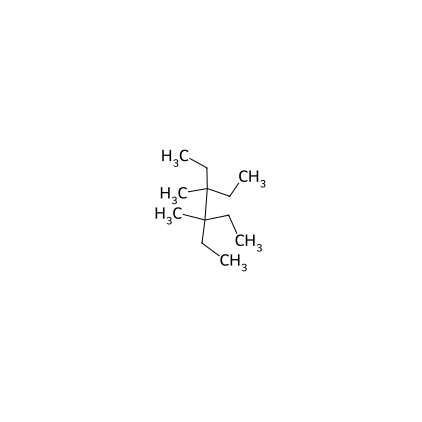 CCC(C)(CC)C(C)(CC)CC